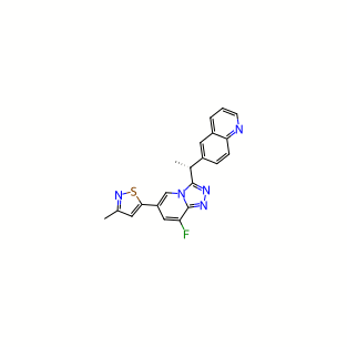 Cc1cc(-c2cc(F)c3nnc([C@H](C)c4ccc5ncccc5c4)n3c2)sn1